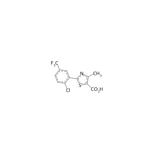 Cc1nc(-c2cc(C(F)(F)F)ccc2Cl)sc1C(=O)O